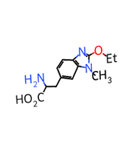 CCOc1nc2ccc(CC(N)C(=O)O)cc2n1C